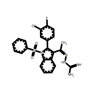 C/C(=N/NC(=N)N)c1c(-c2ccc(F)c(Cl)c2)n(S(=O)(=O)c2ccccc2)c2ccccc12